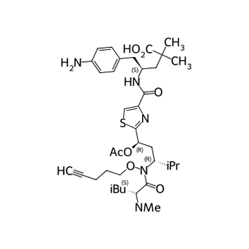 C#CCCCON(C(=O)C(NC)[C@@H](C)CC)[C@H](C[C@@H](OC(C)=O)c1nc(C(=O)N[C@@H](Cc2ccc(N)cc2)CC(C)(C)C(=O)O)cs1)C(C)C